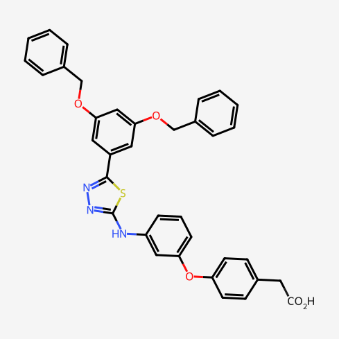 O=C(O)Cc1ccc(Oc2cccc(Nc3nnc(-c4cc(OCc5ccccc5)cc(OCc5ccccc5)c4)s3)c2)cc1